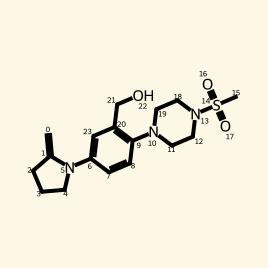 C=C1CCCN1c1ccc(N2CCN(S(C)(=O)=O)CC2)c(CO)c1